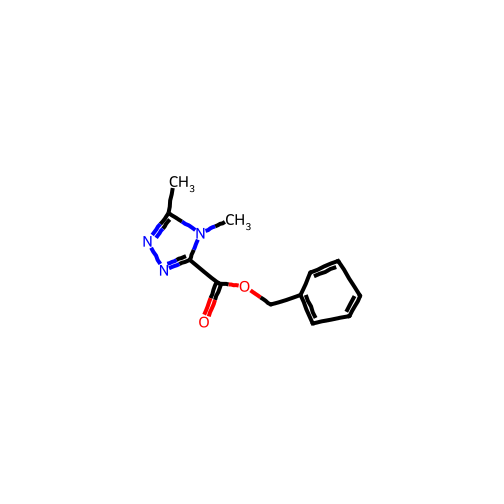 Cc1nnc(C(=O)OCc2ccccc2)n1C